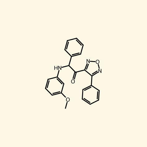 COc1cccc(NC(C(=O)c2nonc2-c2ccccc2)c2ccccc2)c1